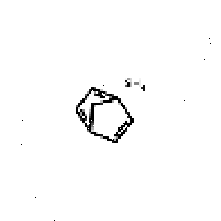 C1=CC2=CC=C1C2.[SiH4]